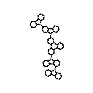 c1ccc2c(c1)c1cc(-n3c4ccccc4c4cc(-n5c6ccccc6c6ccccc65)ccc43)ccc1c1ccc(-n3c4ccccc4c4c(-n5c6ccccc6c6ccccc65)cccc43)cc21